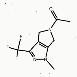 CC(=O)N1Cc2c(C(F)(F)F)nn(C)c2C1